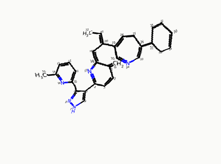 C=c1ccc(-c2c[nH]nc2-c2cccc(C)n2)n/c1=C/C(=C\C)C1=CCC(C2CC=CCC2)=CN=C1